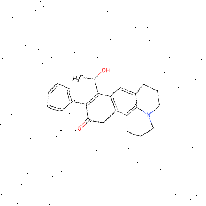 CC(O)C1=C(c2ccccc2)C(=O)Cc2c1cc1c3c2CCCN3CCC1